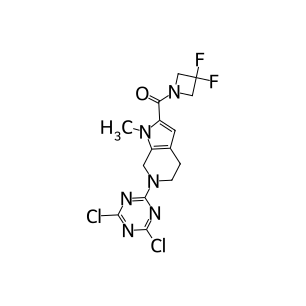 Cn1c(C(=O)N2CC(F)(F)C2)cc2c1CN(c1nc(Cl)nc(Cl)n1)CC2